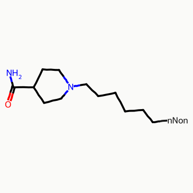 CCCCCCCCCCCCCCCN1CCC(C(N)=O)CC1